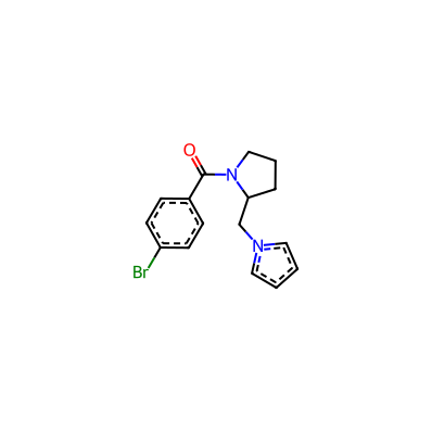 O=C(c1ccc(Br)cc1)N1CCCC1Cn1cccc1